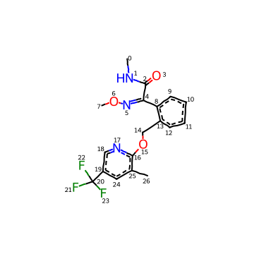 CNC(=O)C(=NOC)c1ccccc1COc1ncc(C(F)(F)F)cc1C